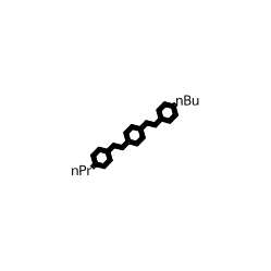 CCCCC1CCC(CCC2CCC(CCC3CCC(CCC)CC3)CC2)CC1